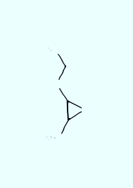 CSC1SC1SCC#N